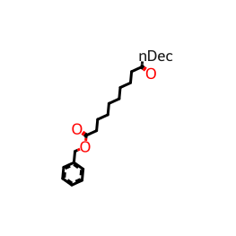 CCCCCCCCCCC(=O)CCCCCCCCC(=O)OCc1ccccc1